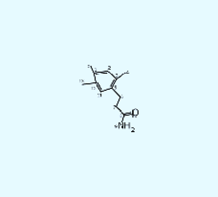 Cc1cc(C)c(CCC(N)=O)cc1C